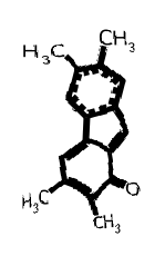 CC1=C(C)C(=O)C2=Cc3cc(C)c(C)cc3C2=C1